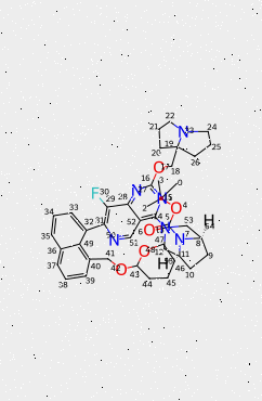 CC(C)(C)OC(=O)N1[C@@H]2CC[C@H]1CN(c1nc(OCC34CCCN3CCC4)nc3c(F)c(-c4cccc5cccc(COC6CCCCO6)c45)ncc13)C2